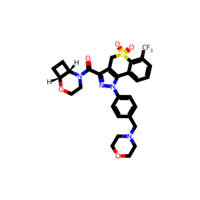 O=C(c1nn(-c2ccc(CN3CCOCC3)cc2)c2c1CS(=O)(=O)c1c-2cccc1C(F)(F)F)N1CCO[C@@H]2CC[C@@H]21